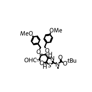 COc1ccc(CO[C@@H]2[C@H]3N=C(N(C)C(=O)OC(C)(C)C)S[C@H]3O[C@H](C=O)[C@H]2OCc2ccc(OC)cc2)cc1